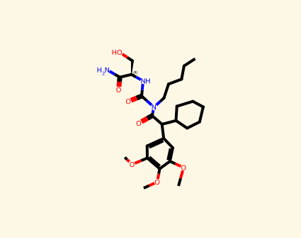 CCCCCN(C(=O)N[C@H](CO)C(N)=O)C(=O)C(c1cc(OC)c(OC)c(OC)c1)C1CCCCC1